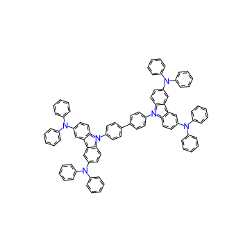 c1ccc(N(c2ccccc2)c2ccc3c(c2)c2cc(N(c4ccccc4)c4ccccc4)ccc2n3-c2ccc(-c3ccc(-n4c5ccc(N(c6ccccc6)c6ccccc6)cc5c5cc(N(c6ccccc6)c6ccccc6)ccc54)cc3)cc2)cc1